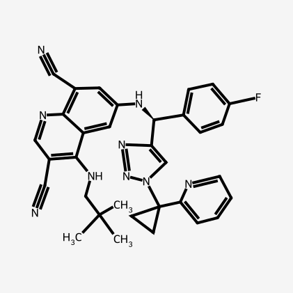 CC(C)(C)CNc1c(C#N)cnc2c(C#N)cc(N[C@@H](c3ccc(F)cc3)c3cn(C4(c5ccccn5)CC4)nn3)cc12